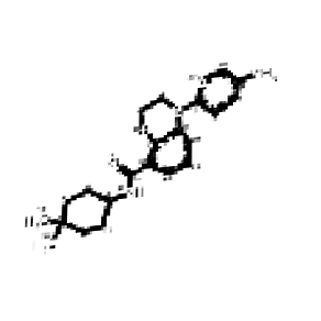 Cc1ccc(N2CCOc3c(C(=O)NC4CCC(C)(C)CC4)cccc32)nc1